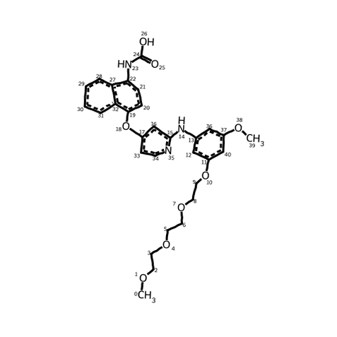 COCCOCCOCCOc1cc(Nc2cc(Oc3ccc(NC(=O)O)c4ccccc34)ccn2)cc(OC)c1